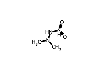 CN(C)N[SH](=O)=O